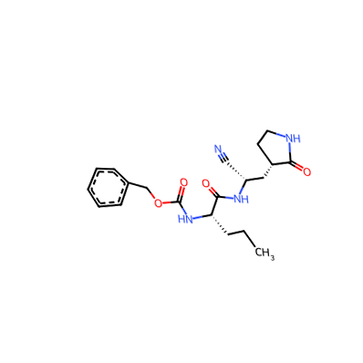 CCC[C@H](NC(=O)OCc1ccccc1)C(=O)N[C@H](C#N)C[C@@H]1CCNC1=O